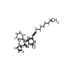 CCCCCCCCC#Cc1nc(Cl)c2nc(-c3cccs3)n(C3CCCCO3)c2n1